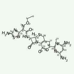 CCO/N=C(\C(=O)NC1C(=O)N2C(C(=O)[O-])=C(CSc3nc(N)cc(N)[n+]3C)CS[C@H]12)c1nsc(N)n1